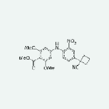 COC(=O)c1c(OC)cc(Nc2ccc(C3(C#N)CCC3)cc2[N+](=O)[O-])cc1OC